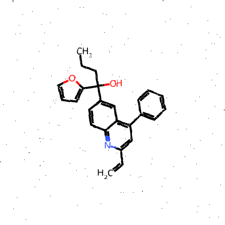 C=Cc1cc(-c2ccccc2)c2cc(C(O)(CCC)c3ccco3)ccc2n1